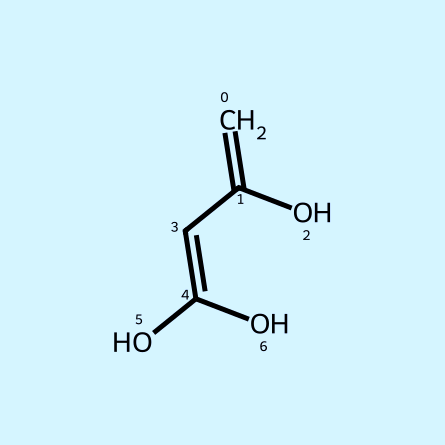 C=C(O)C=C(O)O